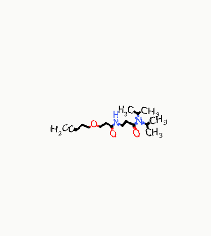 C=C=CCCOCCC(=O)NCCC(=O)N(C(C)C)C(C)C